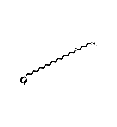 CCCCCOCCCCCCCCCCCCCCCCn1ccnc1